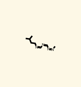 C\N=N/C=N\C=N/CCC(C)C